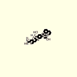 Cl.Cn1c(=O)c(Cc2ccc(C(=N)N)nc2)nc2cc(N(CC(=O)O)S(=O)(=O)c3cccc4cccnc34)ccc21